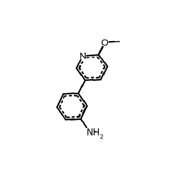 COc1ccc(-c2cccc(N)c2)cn1